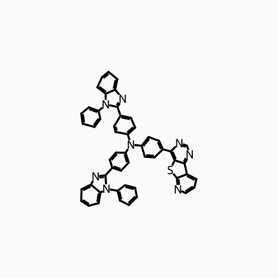 c1ccc(-n2c(-c3ccc(N(c4ccc(-c5ncnc6c5sc5ncccc56)cc4)c4ccc(-c5nc6ccccc6n5-c5ccccc5)cc4)cc3)nc3ccccc32)cc1